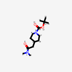 CN(C)C(=O)CC1CCN(C(=O)OC(C)(C)C)CC1